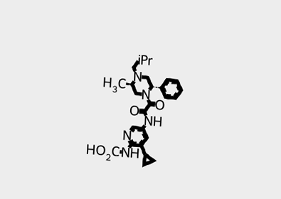 CC(C)CN1C[C@H](c2ccccc2)N(C(=O)C(=O)Nc2cnc(NC(=O)O)c(C3CC3)c2)C[C@H]1C